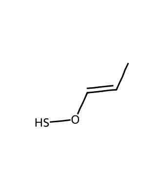 CC=COS